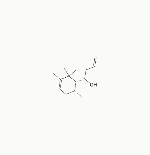 C=CCC(O)[C@@H]1[C@H](C)CC=C(C)C1(C)C